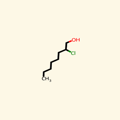 CCCCCCC(Cl)CO